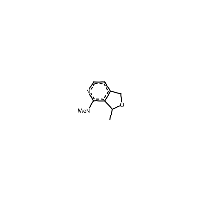 CNc1nccc2c1C(C)OC2